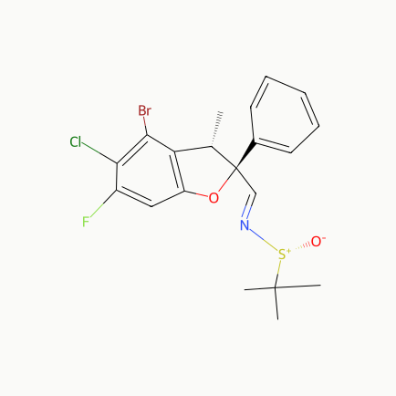 C[C@H]1c2c(cc(F)c(Cl)c2Br)O[C@]1(/C=N/[S@+]([O-])C(C)(C)C)c1ccccc1